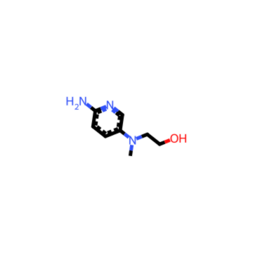 CN(CCO)c1ccc(N)nc1